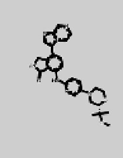 COC(C)(C)[C@@H]1CN(c2ccc(Nc3ccc(-c4cnc5cnccn45)c4c3C(=O)NC4)nc2)CCO1